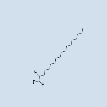 CCCCCCCCCCCCCCCCC(F)[C](F)F